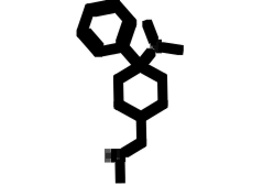 CNCC1CCC(c2ccccc2)(N(C)C)CC1